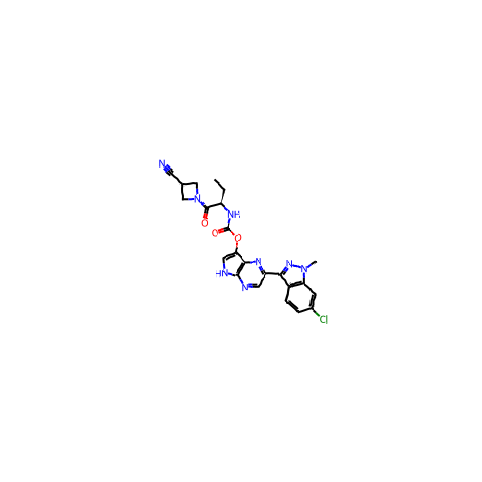 CC[C@@H](NC(=O)Oc1c[nH]c2ncc(-c3nn(C)c4cc(Cl)ccc34)nc12)C(=O)N1CC(C#N)C1